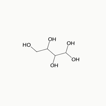 OCC(O)C(O)C(O)O